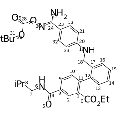 CCOC(=O)c1cc(C(=O)NCC(C)C)ccc1-c1ccccc1CNc1ccc(C(N)=NOC(=O)OC(C)(C)C)cc1